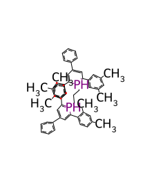 Cc1cccc(C2=CC(c3ccccc3)=CC(c3cc(C)cc(C)c3)=[PH]2CCC[PH]2=C(c3ccc(C)cc3C)C=C(c3ccccc3)C=C2c2ccc(C)cc2C)c1